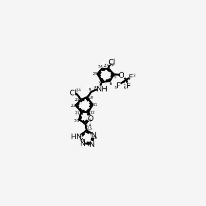 FC(F)(F)Oc1cc(NCc2cc3oc(-c4nnn[nH]4)cc3cc2Cl)ccc1Cl